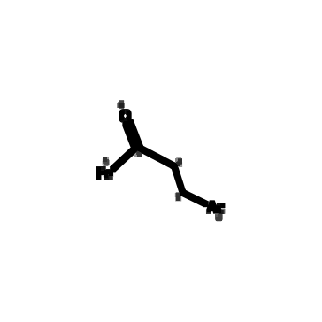 CC(=O)CC[C](=O)[Fe]